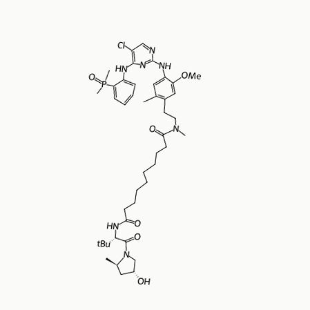 COc1cc(CCN(C)C(=O)CCCCCCCCC(=O)N[C@H](C(=O)N2C[C@H](O)C[C@H]2C)C(C)(C)C)c(C)cc1Nc1ncc(Cl)c(Nc2ccccc2P(C)(C)=O)n1